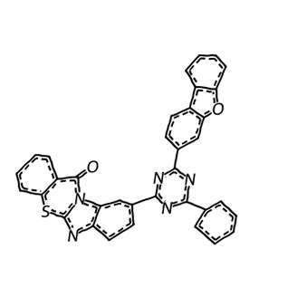 O=c1c2ccccc2sc2nc3ccc(-c4nc(-c5ccccc5)nc(-c5ccc6c(c5)oc5ccccc56)n4)cc3n12